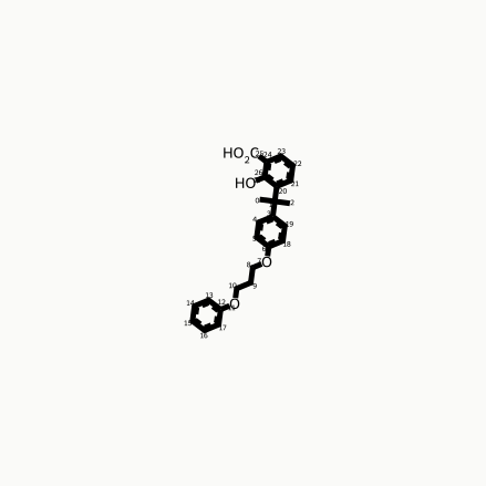 CC(C)(c1ccc(OCCCOc2ccccc2)cc1)c1cccc(C(=O)O)c1O